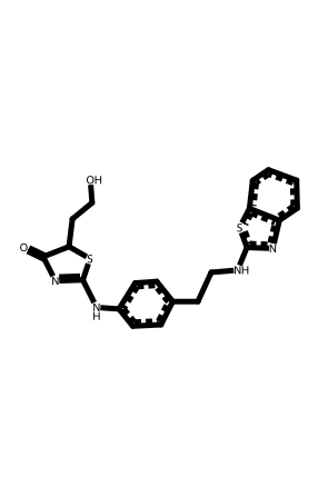 O=C1N=C(Nc2ccc(CCNc3nc4ccccc4s3)cc2)SC1CCO